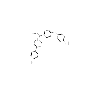 OCCC(c1ccc(Cc2ccc(Cl)cc2)cc1)N1CC=C(c2ccc(F)cc2)CC1